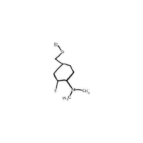 CCOCC1CCC(N(C)C)C(F)C1